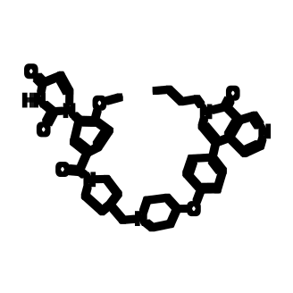 CCCCn1cc(-c2ccc(OC3CCN(CC4CCN(C(=O)c5ccc(OC)c(-n6ccc(=O)[nH]c6=O)c5)CC4)CC3)cc2)c2ccncc2c1=O